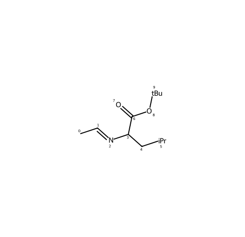 C/C=N/C(CC(C)C)C(=O)OC(C)(C)C